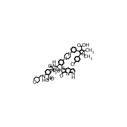 Cc1c(C(=O)O)c(-c2cccc(N3CCN(c4ccc(C(=O)NS(=O)(=O)c5ccc(NCC6CCOCC6)c([N+](=O)[O-])c5)c(-n5c6cc7cc[nH]c7nc6c(=O)n5C)c4)CC3)c2)c(-c2ccc(Cl)cc2)n1C